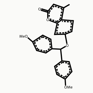 COc1ccc(C(Oc2ccc3c(C)cc(=O)oc3c2)c2ccc(OC)cc2)cc1